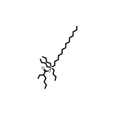 CCCCCCCCCCCCCCP(CCCC)(CCCC)(CCCC)OC(=O)C(CC)CCCC